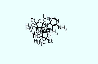 CCC1(C)OC(C)(OC2(C)C(C)(n3cnc4c(N)ncnc43)OC(C)(CC)C2(C)O)C(C)(O)C1(C)O